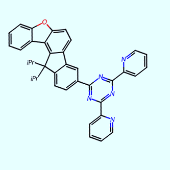 CC(C)C1(C(C)C)c2ccc(-c3nc(-c4ccccn4)nc(-c4ccccn4)n3)cc2-c2ccc3oc4ccccc4c3c21